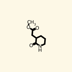 COC(=O)CC1CCCNC1=O